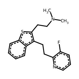 CN(C)CCc1sc2ccccc2c1CCc1ncccc1F